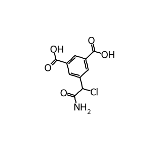 NC(=O)C(Cl)c1cc(C(=O)O)cc(C(=O)O)c1